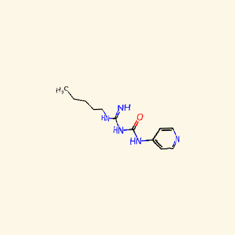 CCCCCNC(=N)NC(=O)Nc1ccncc1